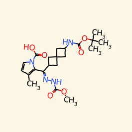 COC(=O)N/N=C(/c1c(C)ccn1C(=O)O)C1CC2(CC(NC(=O)OC(C)(C)C)C2)C1